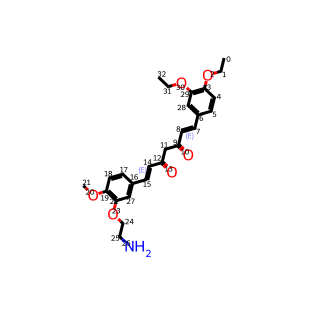 CCOc1ccc(/C=C/C(=O)CC(=O)/C=C/c2ccc(OC)c(OCCN)c2)cc1OCC